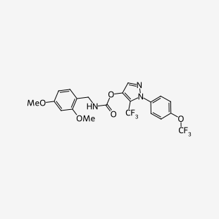 COc1ccc(CNC(=O)Oc2cnn(-c3ccc(OC(F)(F)F)cc3)c2C(F)(F)F)c(OC)c1